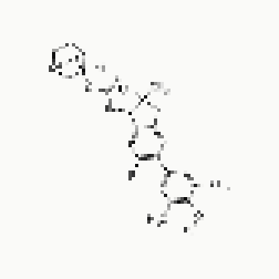 CCOc1c(C)cc(-c2cc3c(cc2F)C(NC(=O)O[C@H]2CN4CCC2CC4)C(C)(C)C3)cc1C